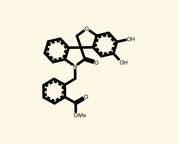 COC(=O)c1ccccc1CN1C(=O)C2(COc3cc(O)c(O)cc32)c2ccccc21